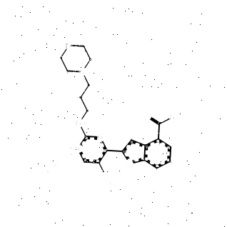 Cl.Cl.Cl.NC(=O)c1cccc2sc(-c3nc(NCCCN4CCNCC4)ncc3Cl)cc12